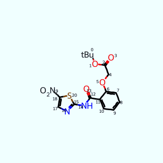 CC(C)(C)OC(=O)COc1ccccc1C(=O)Nc1ncc([N+](=O)[O-])s1